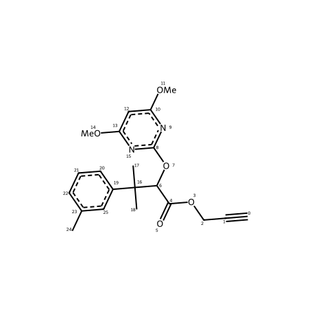 C#CCOC(=O)C(Oc1nc(OC)cc(OC)n1)C(C)(C)c1cccc(C)c1